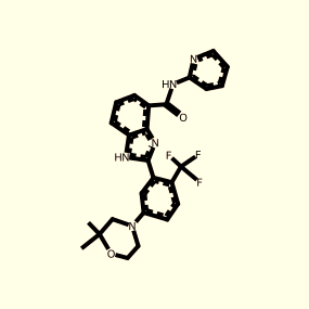 CC1(C)CN(c2ccc(C(F)(F)F)c(-c3nc4c(C(=O)Nc5ccccn5)cccc4[nH]3)c2)CCO1